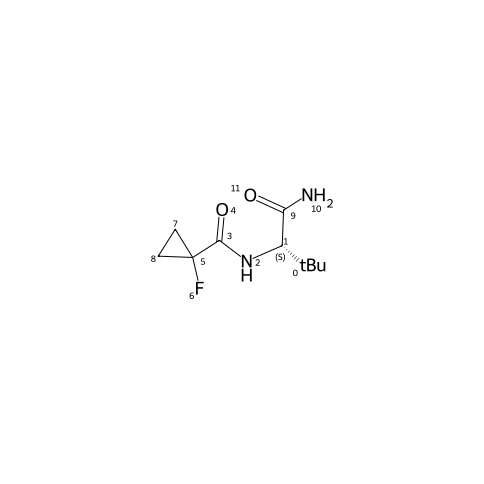 CC(C)(C)[C@H](NC(=O)C1(F)CC1)C(N)=O